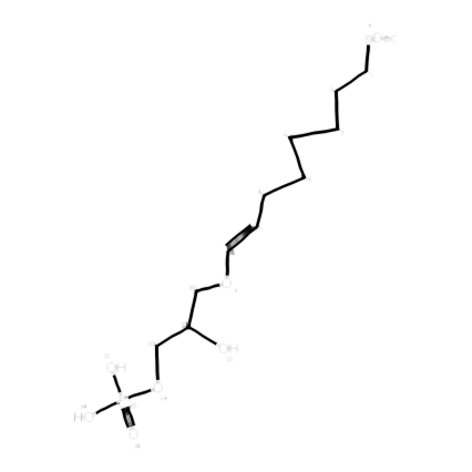 CCCCCCCCCCCCCCCCC=COCC(O)COP(=O)(O)O